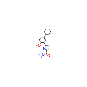 COc1ccc(C2CCCCC2)cc1-c1csc(C(N)=O)n1